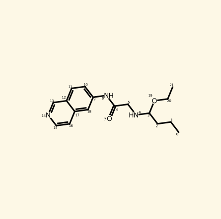 CCCC(NCC(=O)Nc1ccc2cnccc2c1)OCC